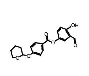 O=Cc1cc(OC(=O)c2ccc(OC3CCCCO3)cc2)ccc1O